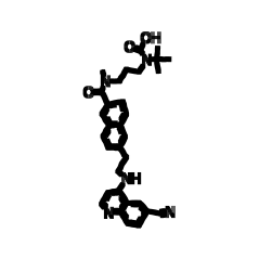 CN(CCCN(C(=O)O)C(C)(C)C)C(=O)c1ccc2cc(CCNc3ccnc4ccc(C#N)cc34)ccc2c1